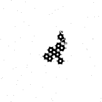 CCc1nc2cc(C#N)ccc2n1-c1ccc(-c2c3ccccc3c(-c3cccc4ccccc34)c3cc(-c4ccccc4)ccc23)c2ccccc12